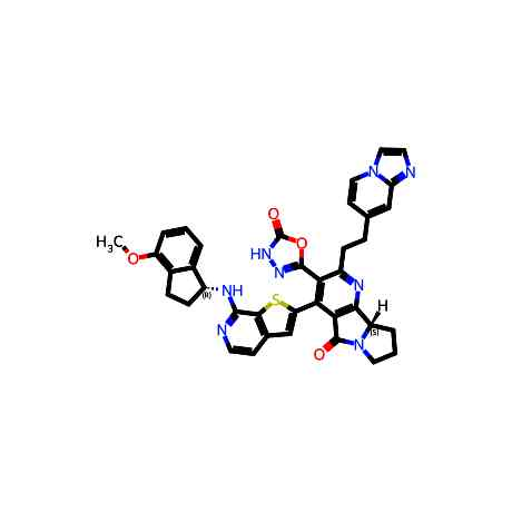 COc1cccc2c1CC[C@H]2Nc1nccc2cc(-c3c4c(nc(CCc5ccn6ccnc6c5)c3-c3n[nH]c(=O)o3)[C@@H]3CCCN3C4=O)sc12